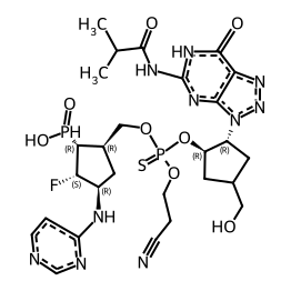 CC(C)C(=O)Nc1nc2c(nnn2[C@@H]2CC(CO)C[C@H]2OP(=S)(OCCC#N)OC[C@H]2C[C@@H](Nc3ccncn3)[C@H](F)[C@@H]2[PH](=O)O)c(=O)[nH]1